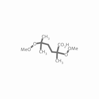 COOC(C)(C)CCC(C)(OOC)C(=O)O